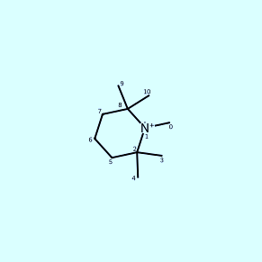 C[N+]1C(C)(C)CCCC1(C)C